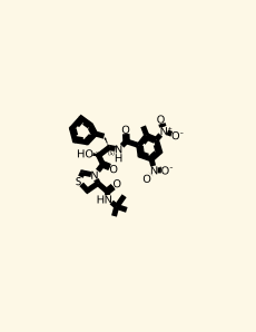 Cc1c(C(=O)N[C@@H](Cc2ccccc2)[C@H](O)C(=O)N2CSCC2C(=O)NC(C)(C)C)cc([N+](=O)[O-])cc1[N+](=O)[O-]